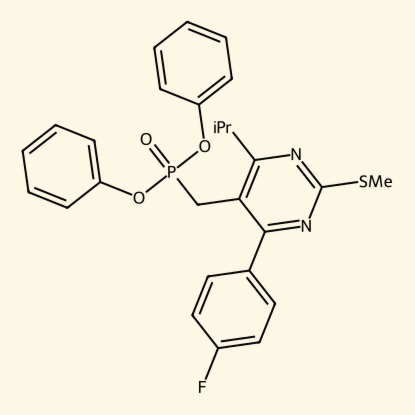 CSc1nc(-c2ccc(F)cc2)c(CP(=O)(Oc2ccccc2)Oc2ccccc2)c(C(C)C)n1